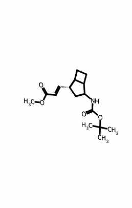 COC(=O)/C=C/[C@H]1CC(NC(=O)OC(C)(C)C)C2CCC21